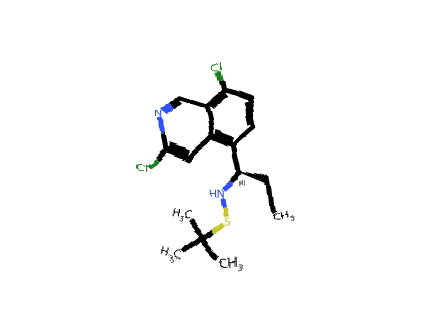 CC[C@@H](NSC(C)(C)C)c1ccc(Cl)c2cnc(Cl)cc12